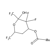 CCC(C)C(=O)OC1CC(C(F)(F)F)OC(O)(C(F)(F)F)C1(F)F